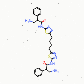 NCC(C(=O)Nc1nnc(CCCCc2nnc(NC(=O)C(CN)c3ccccc3)s2)s1)c1ccccc1